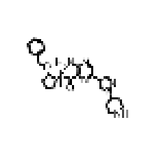 Nc1ncc(-c2cnn(C3CCNCC3)c2)nc1C(=O)N[C@H]1CCC[C@@H]1OCc1ccccc1